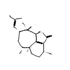 CC(C)=C[C@@H]1C[C@H](C)[C@H]2CC[C@H](C)C3=C2[C@](O)(OC3=O)[C@@]1(C)O